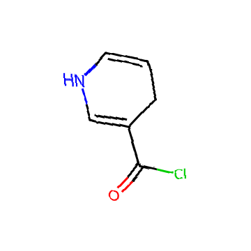 O=C(Cl)C1=CNC=CC1